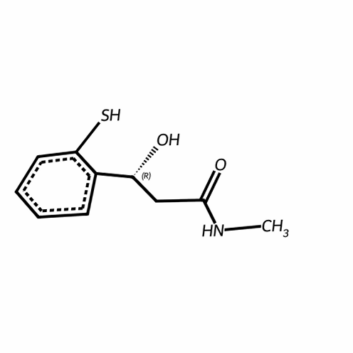 CNC(=O)C[C@@H](O)c1ccccc1S